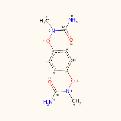 CN(Oc1ccc(ON(C)C(N)=O)cc1)C(N)=O